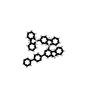 c1ccc(-c2ccc(-c3cc(-n4c5ccccc5c5ccc(-n6c7ccccc7c7ccccc76)cc54)c4c(c3)sc3ccccc34)cc2)cc1